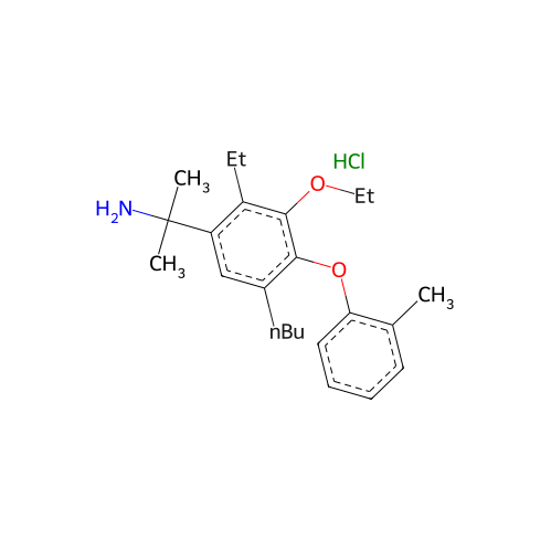 CCCCc1cc(C(C)(C)N)c(CC)c(OCC)c1Oc1ccccc1C.Cl